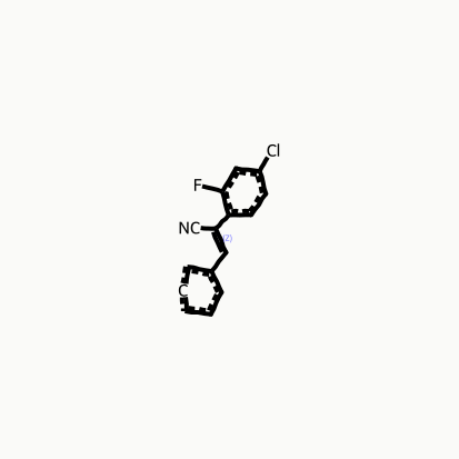 N#C/C(=C\c1ccccc1)c1ccc(Cl)cc1F